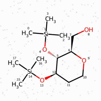 C[Si](C)(C)O[C@@H]1[C@@H](CO)OCC[C@H]1O[Si](C)(C)C